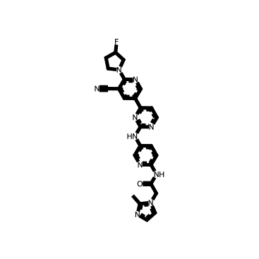 Cc1nccn1CC(=O)Nc1ccc(Nc2nccc(-c3cnc(N4CCC(F)C4)c(C#N)c3)n2)cn1